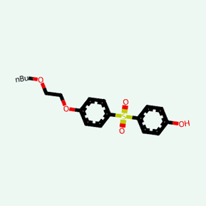 CCCCOCCOc1ccc(S(=O)(=O)c2ccc(O)cc2)cc1